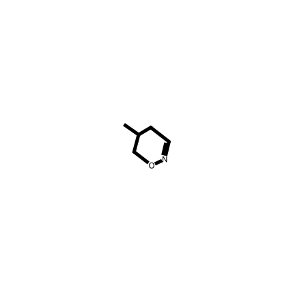 CC1CC=NOC1